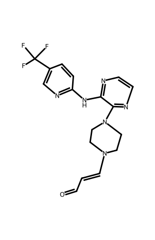 O=CC=CN1CCN(c2nccnc2Nc2ccc(C(F)(F)F)cn2)CC1